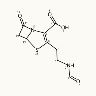 O=CNCCC1=C(C(=O)O)N2C(=O)CC2S1